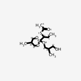 CCC(SC(C)=O)[Si]1(OCC(C)CO)OCC(C)CO1